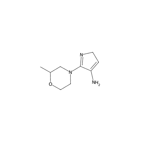 CC1CN(C2=NCC=C2N)CCO1